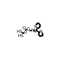 O=C(OCNN=C(c1ccccn1)c1ccccn1)OC(S)S